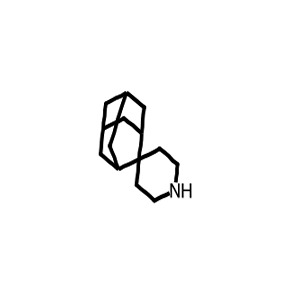 C1CC2(CCN1)C1CC3CC(C1)CC2C3